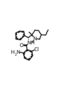 CCC1CCC(C)([C@H](NC(=O)c2c(N)cccc2Cl)c2ccccc2)N(C)C1